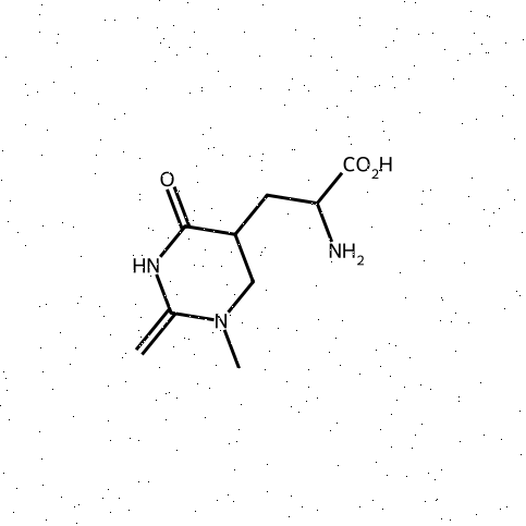 C=C1NC(=O)C(CC(N)C(=O)O)CN1C